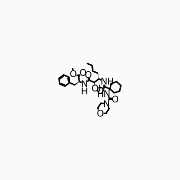 CCCC[C@H](NC(=O)C1(NC(=O)N2CCOCC2)CCCCC1)[C@H](O)C(=O)N[C@@H](Cc1ccccc1)C(=O)OC